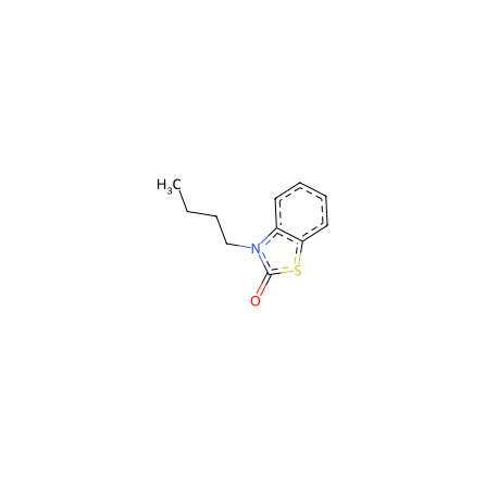 CCCCn1c(=O)sc2ccccc21